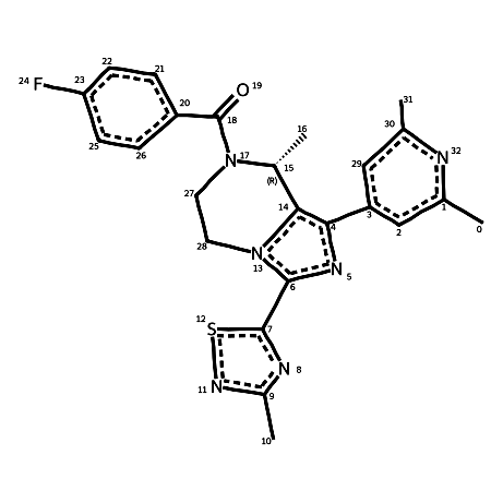 Cc1cc(-c2nc(-c3nc(C)ns3)n3c2[C@@H](C)N(C(=O)c2ccc(F)cc2)CC3)cc(C)n1